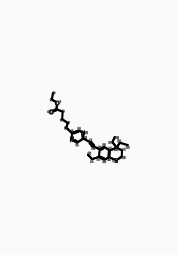 CCOC(=O)CCCCc1cnc(C#Cc2cc3c(cc2CC)SCCC3(CC)CC)cn1